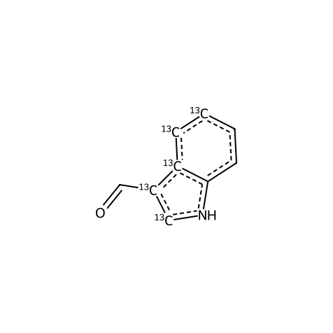 O=C[13c]1[13cH][nH]c2cc[13cH][13cH][13c]21